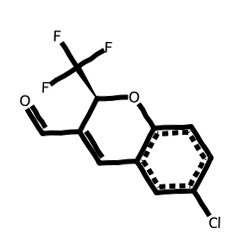 O=CC1=Cc2cc(Cl)ccc2O[C@@H]1C(F)(F)F